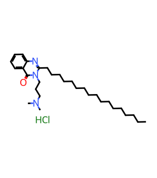 CCCCCCCCCCCCCCCCCc1nc2ccccc2c(=O)n1CCCN(C)C.Cl